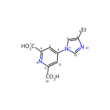 CCc1cn(-c2cc(C(=O)O)nc(C(=O)O)c2)cn1